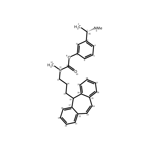 CN[C@@H](C)c1cccc(OC(=O)N(C)CCCC2c3ccccc3C=Cc3ccccc32)c1